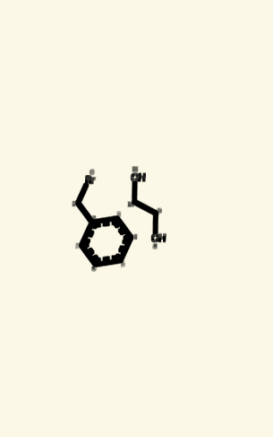 BrCc1ccccc1.OCCO